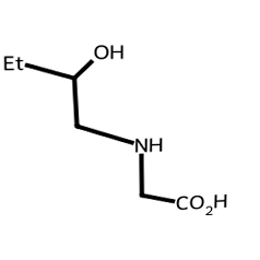 CCC(O)CNCC(=O)O